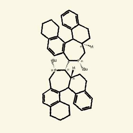 CC(C)(C)[P@@]1C[C@@H]2CCc3ccccc3C2c2c(ccc3c2CCCC3)C1[C@@H]1[C@@H]2CCc3ccccc3C2c2c(ccc3c2CCCC3)C[P@]1C(C)(C)C